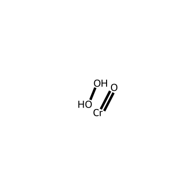 OO.[O]=[Cr]